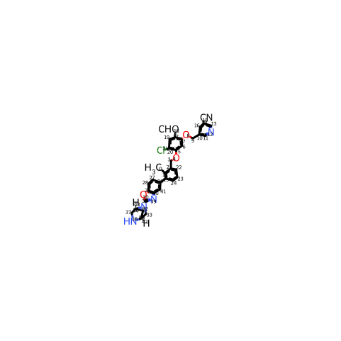 Cc1c(COc2cc(OCc3cncc(C#N)c3)c(C=O)cc2Cl)cccc1-c1ccc2oc(N3C[C@@H]4C[C@H]3CN4)nc2c1